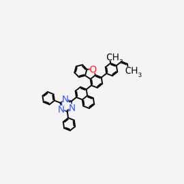 C/C=C\c1ccc(-c2ccc(-c3ccc(-c4nc(-c5ccccc5)nc(-c5ccccc5)n4)c4ccccc34)c3c2oc2ccccc23)cc1C